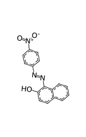 O=[N+]([O-])c1ccc(N=Nc2c(O)ccc3ccccc23)cc1